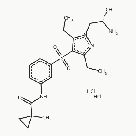 CCc1nn(C[C@H](C)N)c(CC)c1S(=O)(=O)c1cccc(NC(=O)C2(C)CC2)c1.Cl.Cl